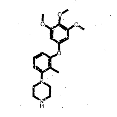 COc1cc(Oc2cccc(N3CCNCC3)c2C)cc(OC)c1OC